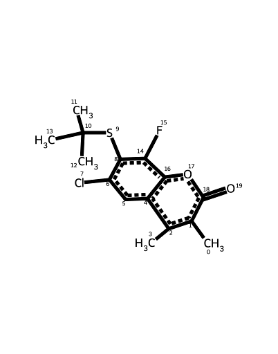 Cc1c(C)c2cc(Cl)c(SC(C)(C)C)c(F)c2oc1=O